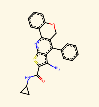 Nc1c(C(=O)NC2CC2)sc2nc3c(c(-c4ccccc4)c12)COc1ccccc1-3